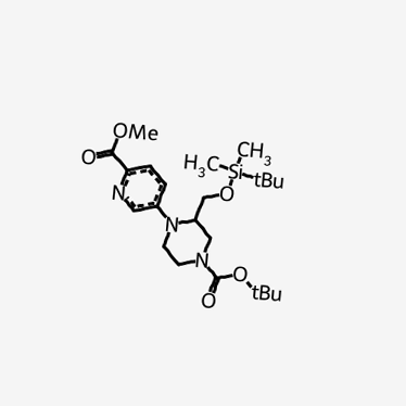 COC(=O)c1ccc(N2CCN(C(=O)OC(C)(C)C)CC2CO[Si](C)(C)C(C)(C)C)cn1